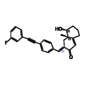 C[C@]12C/C(=C\c3ccc(C#Cc4cccc(F)c4)cc3)C(=O)C=C1CCC[C@@H]2O